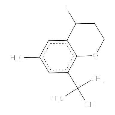 Cc1cc2c(c(C(C)(C)C)c1)OCCC2F